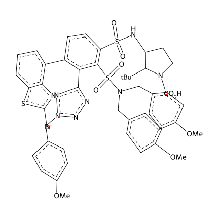 COc1ccc(CN(Cc2ccc(OC)cc2)S(=O)(=O)c2c(S(=O)(=O)NC3CCN(C(=O)O)C3C(C)(C)C)ccc(-c3cccc4sc(Br)nc34)c2-c2nnn(Cc3ccc(OC)cc3)n2)cc1